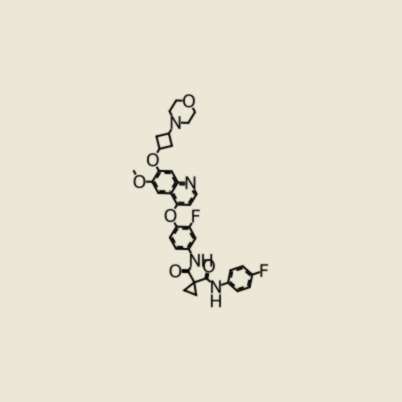 COc1cc2c(Oc3ccc(NC(=O)C4(C(=O)Nc5ccc(F)cc5)CC4)cc3F)ccnc2cc1OC1CC(N2CCOCC2)C1